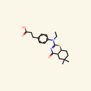 CCN(C1=NC(=O)C2CC(C)(C)CCC2S1)c1ccc(CCC(=O)O)cc1